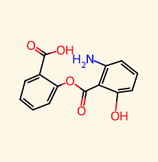 Nc1cccc(O)c1C(=O)Oc1ccccc1C(=O)O